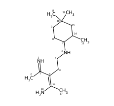 CC(=N)/C(CCNC1CCC(C)(C)CC1C)=C(/C)N